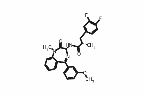 COc1cccc(C2=N[C@H](NC(=O)[C@@H](C)Cc3ccc(F)c(F)c3)C(=O)N(C)c3ccccc32)c1